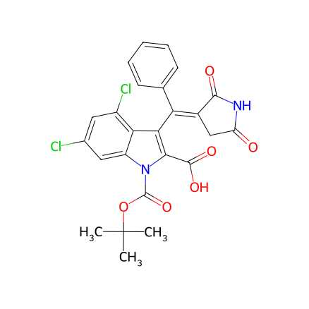 CC(C)(C)OC(=O)n1c(C(=O)O)c(C(=C2CC(=O)NC2=O)c2ccccc2)c2c(Cl)cc(Cl)cc21